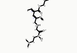 C=N/C(=C\C(=C/C)C(=O)OCCF)CNCC(=O)N(CC)CCN(C)C